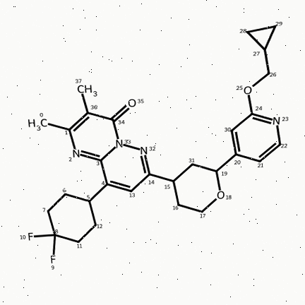 Cc1nc2c(C3CCC(F)(F)CC3)cc(C3CCOC(c4ccnc(OCC5CC5)c4)C3)nn2c(=O)c1C